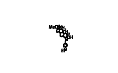 CCOc1ccc(COC2(O)CCC3(C)C(=CCC4C3CCC3(C)C4CCC3(OC)C(C)=O)C2)cc1